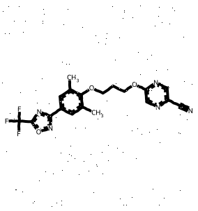 Cc1cc(-c2noc(C(F)(F)F)n2)cc(C)c1OCCCOc1cnc(C#N)cn1